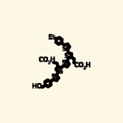 CCc1ccc(-c2ccc(-c3cc(CCC(=O)O)c(-c4ccc(-c5sc(-c6ccc(-c7ccc(CO)cc7)s6)cc5CCC(=O)O)s4)s3)s2)cc1